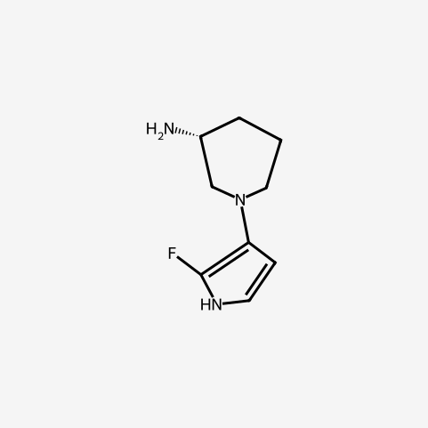 N[C@@H]1CCCN(c2cc[nH]c2F)C1